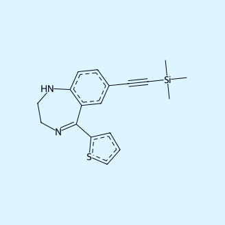 C[Si](C)(C)C#Cc1ccc2c(c1)C(c1cccs1)=NCCN2